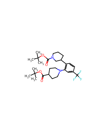 CC(C)(C)OC(=O)C1CCN(c2cc(C(F)(F)F)ccc2C2CCCN(C(=O)OC(C)(C)C)C2)CC1